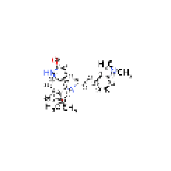 C/C=C1\[C@H]2C=C(C)C[C@]1(N=CC=Cc1cccc(N(C)C)c1)c1ccc(=O)[nH]c1C2